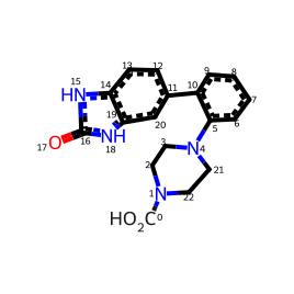 O=C(O)N1CCN(c2ccccc2-c2ccc3[nH]c(=O)[nH]c3c2)CC1